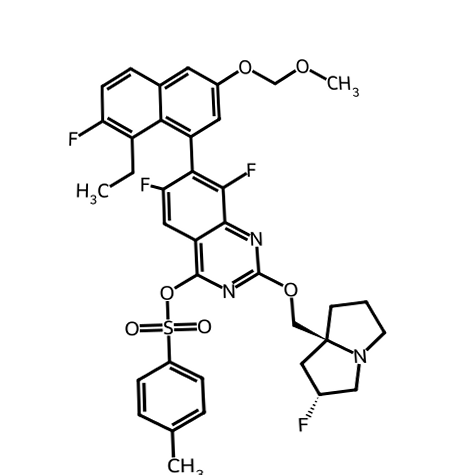 CCc1c(F)ccc2cc(OCOC)cc(-c3c(F)cc4c(OS(=O)(=O)c5ccc(C)cc5)nc(OC[C@@]56CCCN5C[C@H](F)C6)nc4c3F)c12